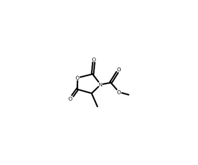 COC(=O)N1C(=O)OC(=O)C1C